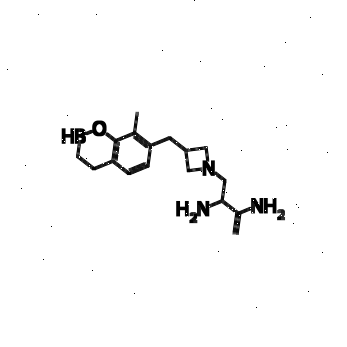 C=C(N)C(N)CN1CC(Cc2ccc3c(c2C)OBCC3)C1